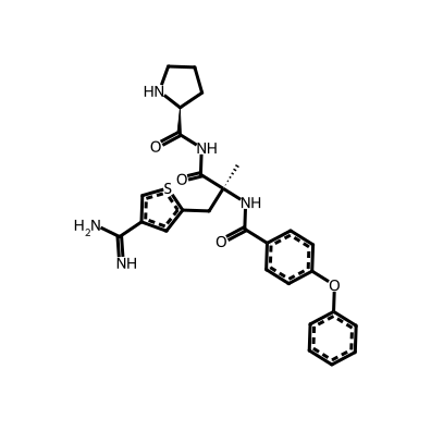 C[C@@](Cc1cc(C(=N)N)cs1)(NC(=O)c1ccc(Oc2ccccc2)cc1)C(=O)NC(=O)[C@@H]1CCCN1